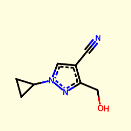 N#Cc1cn(C2CC2)nc1CO